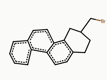 BrCC1CCc2ccc3c(ccc4ccccc43)c2C1